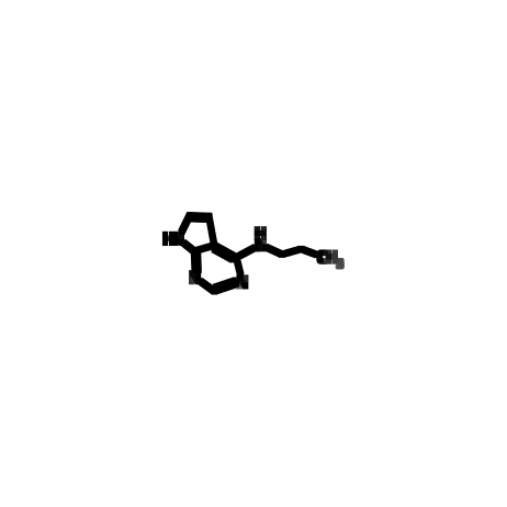 CCCNc1ncnc2[nH]ccc12